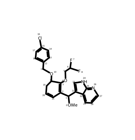 COC(C1=C(OCC(F)F)C(OCc2ccc(Cl)cc2)CC=C1)c1c[nH]c2ncccc12